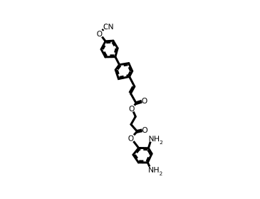 N#COc1ccc(-c2ccc(/C=C/C(=O)OCCC(=O)Oc3ccc(N)cc3N)cc2)cc1